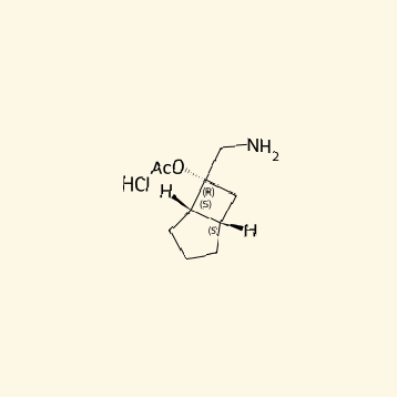 CC(=O)O[C@]1(CN)C[C@@H]2CCC[C@@H]21.Cl